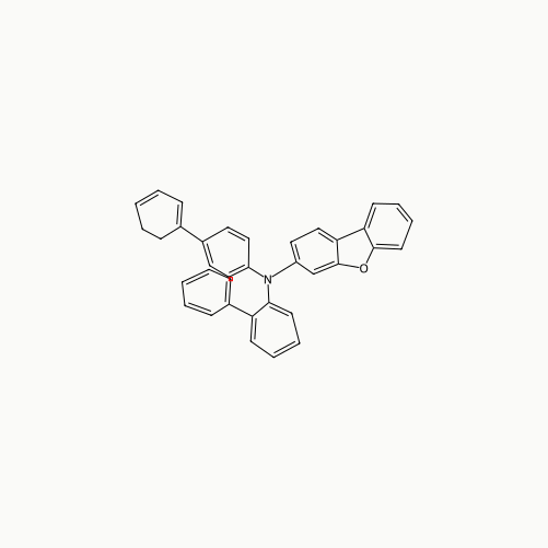 C1=CCCC(c2ccc(N(c3ccc4c(c3)oc3ccccc34)c3ccccc3-c3ccccc3)cc2)=C1